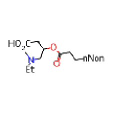 CCCCCCCCCCCC(=O)O[C@H](CC(=O)O)CN(C)CC